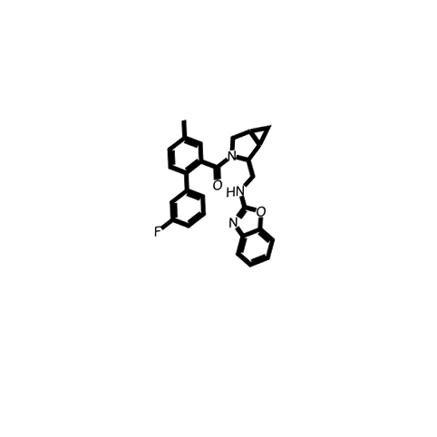 Cc1ccc(-c2cccc(F)c2)c(C(=O)N2CC3CC3C2CNc2nc3ccccc3o2)c1